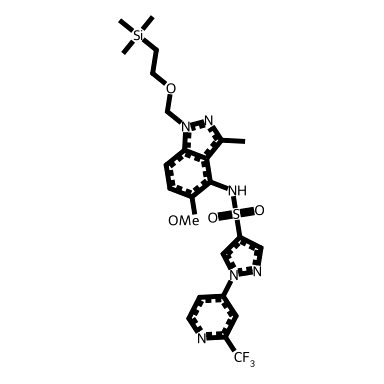 COc1ccc2c(c(C)nn2COCC[Si](C)(C)C)c1NS(=O)(=O)c1cnn(-c2ccnc(C(F)(F)F)c2)c1